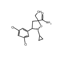 NC(=O)C1(CO)CC(c2cc(Cl)cc(Cl)c2)N(C2CC2)O1